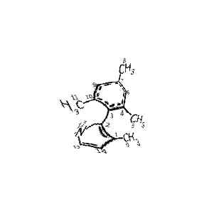 CC1=C(c2c(C)cc(C)cc2C)[N]C=C1